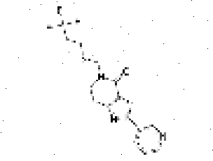 O=C1c2cn(-c3cccnc3)nc2CCN1CSCCC(F)(F)F